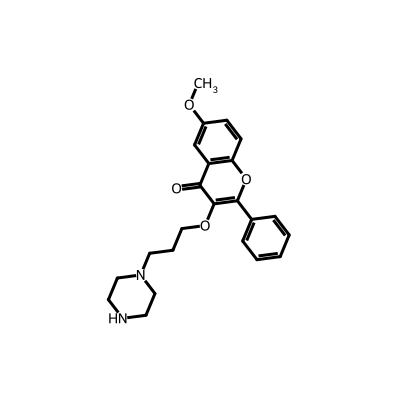 COc1ccc2oc(-c3ccccc3)c(OCCCN3CCNCC3)c(=O)c2c1